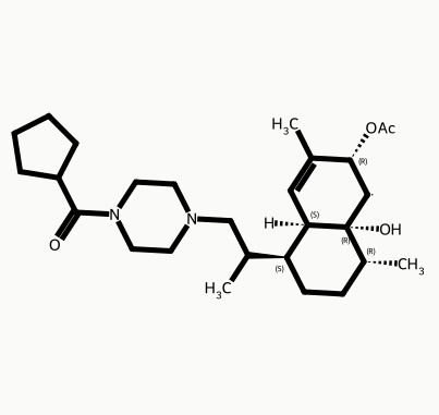 CC(=O)O[C@@H]1[CH][C@@]2(O)[C@H](C)CC[C@@H](C(C)CN3CCN(C(=O)C4CCCC4)CC3)[C@H]2C=C1C